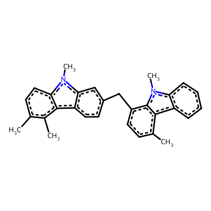 Cc1ccc2c(c1C)c1ccc(Cc3ccc(C)c4c5ccccc5n(C)c34)cc1n2C